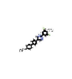 CCCC1CCC(c2ccc(-c3cnc(-c4cc(F)c(C#N)c(F)c4)nc3)cc2)CC1